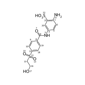 Nc1ccc(NC(=O)c2ccc(S(=O)(=O)CCO)cc2)cc1S(=O)(=O)O